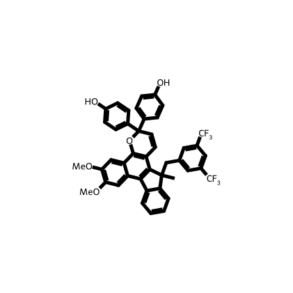 COc1cc2c3c(c4c(c2cc1OC)-c1ccccc1C4(C)Cc1cc(C(F)(F)F)cc(C(F)(F)F)c1)C=CC(c1ccc(O)cc1)(c1ccc(O)cc1)O3